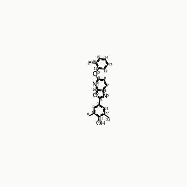 Cc1cc(-c2nc3ccc(Oc4ccccc4F)nc3o2)cc(C)c1O